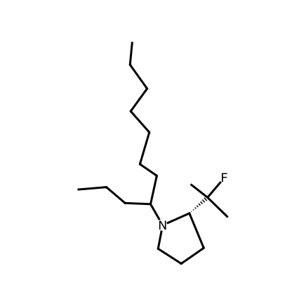 CCCCCCCC(CCC)N1CCC[C@H]1C(C)(C)F